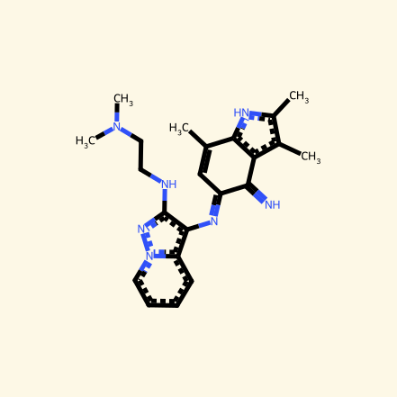 CC1=CC(=Nc2c(NCCN(C)C)nn3ccccc23)C(=N)c2c1[nH]c(C)c2C